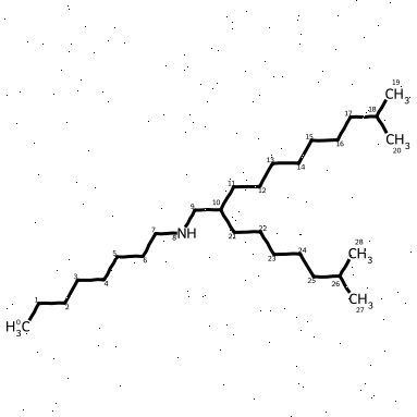 CCCCCCCCNCC(CCCCCCCC(C)C)CCCCCC(C)C